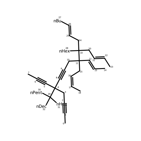 CC#CCC(C#CC)(C#CCC(C=CC)(CC=CC)C(CC=CC)(CC=CCCCC)CCCCCC)C(CCCCC)(CCCCCC)CCCCCCCCCC